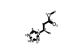 COC(=O)C[C@@H](C)n1cnnn1